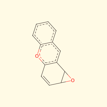 C1=CC2OC2c2cc3ccccc3[o+]c21